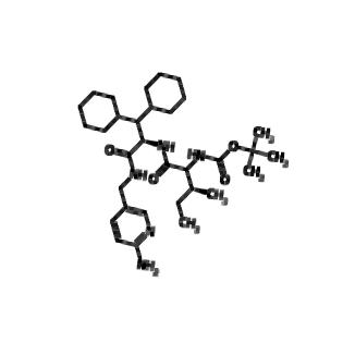 CC[C@H](C)C(NC(=O)OC(C)(C)C)C(=O)N[C@@H](C(=O)NCc1ccc(N)nc1)C(C1CCCCC1)C1CCCCC1